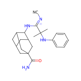 CC(C)(Nc1ccccc1)/C(=N/C#N)NC1C2CC3CC1CC(C(N)=O)(C3)C2